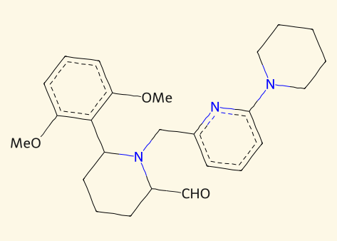 COc1cccc(OC)c1C1CCCC(C=O)N1Cc1cccc(N2CCCCC2)n1